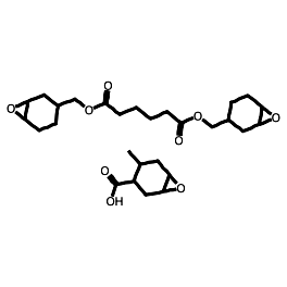 CC1CC2OC2CC1C(=O)O.O=C(CCCCC(=O)OCC1CCC2OC2C1)OCC1CCC2OC2C1